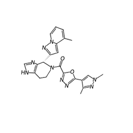 Cc1nn(C)cc1-c1nnc(C(=O)N2CCc3[nH]cnc3[C@@H]2c2cc3c(C)cccn3n2)o1